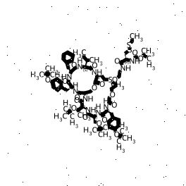 CCSSC[C@H](NC(=O)OC(C)C)C(=O)NCCOCCOCC(=O)N[C@@H](Cc1ccc(OC(C)(C)C)cc1)C(=O)N[C@@H](COC(C)(C)C)C(=O)N[C@H](C(=O)N[C@H]1COC(=O)[C@H](CCSC)NC(=O)[C@H](C(C)CC)NC(=O)[C@H](Cc2ccccc2)NC(=O)[C@H](Cc2ccc(OC(C)(C)C)cc2)NC1=O)C(C)OC(C)(C)C